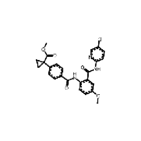 COC(=O)C1(c2ccc(C(=O)Nc3ccc(OC)cc3C(=O)Nc3ccc(Cl)cn3)cc2)CC1